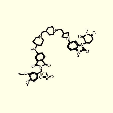 CCOc1cc([C@@H](CS(C)(=O)=O)N2C(=O)c3ccc(NC4CCN(CC5CCN(CC6CN(c7ccc8c(c7)n(C7CCC(=O)NC7=O)c(=O)n8C)C6)CC5)CC4)cc3C2=O)ccc1OC